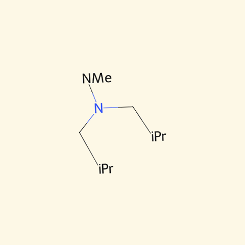 CNN(CC(C)C)CC(C)C